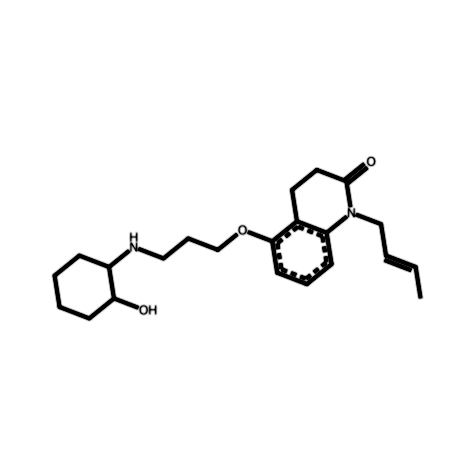 C/C=C/CN1C(=O)CCc2c(OCCCNC3CCCCC3O)cccc21